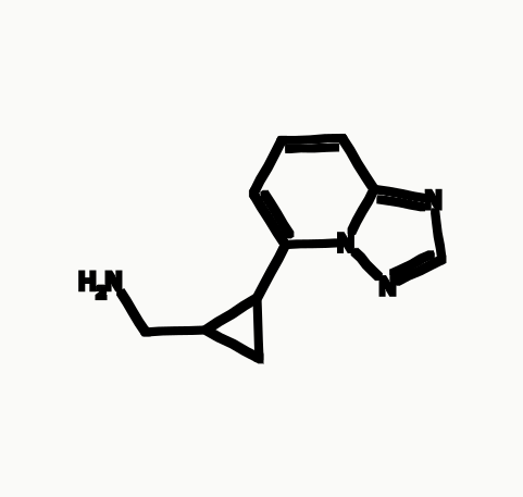 NCC1CC1c1cccc2ncnn12